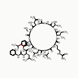 CC[C@H](C)[C@@H]1NC(=O)[C@@H](CCCNC(=N)N)NC(=O)[C@H](CC(C)C)NC(=O)[C@H]([C@H](O)C(C)C)NC(=O)[C@@H](NC(=O)[C@H](CC(C)C)NC(=O)[C@@H](CC(C)C)NC(=S)Nc2ccccc2)[C@@H](c2ccccc2)OC(=O)[C@H](CO)NC(=O)[C@H]([C@H](O)C(N)=O)NC(=O)CNC(=O)[C@H]([C@H](C)O)NC1=O